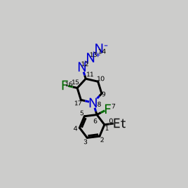 CCC1C=CC=CC1(F)N1CCC(N=[N+]=[N-])C(F)C1